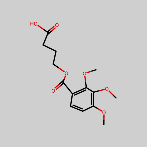 COc1ccc(C(=O)OCCCC(=O)O)c(OC)c1OC